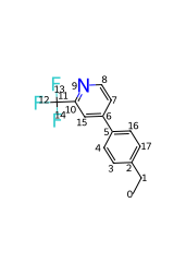 CCc1ccc(-c2ccnc(C(F)(F)F)c2)cc1